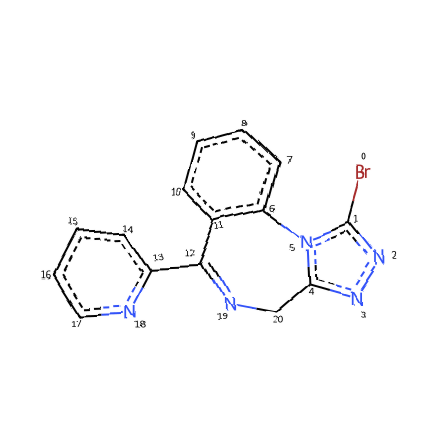 Brc1nnc2n1-c1ccccc1C(c1ccccn1)=NC2